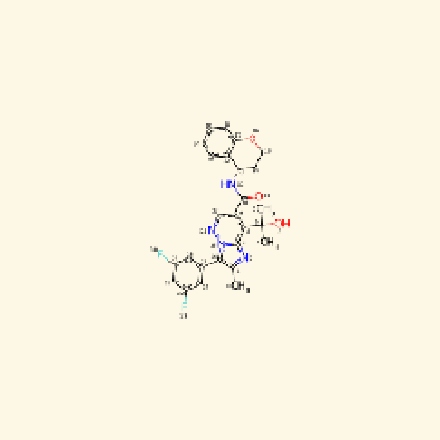 Cc1nc2c(C(C)(C)O)c(C(=O)N[C@H]3CCOc4ccccc43)cnn2c1-c1cc(F)cc(F)c1